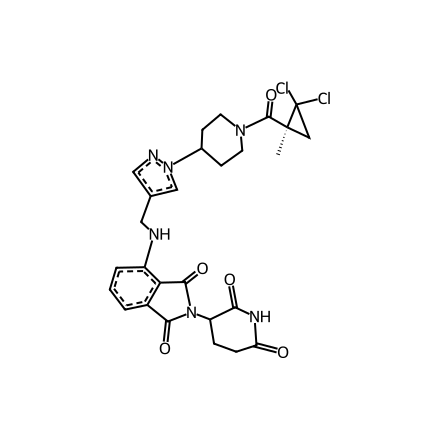 C[C@@]1(C(=O)N2CCC(n3cc(CNc4cccc5c4C(=O)N(C4CCC(=O)NC4=O)C5=O)cn3)CC2)CC1(Cl)Cl